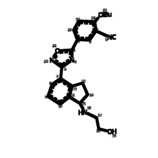 [C-]#[N+]c1cc(-c2nc(-c3cccc4c3CCC4NCCO)no2)ccc1OCC(C)C